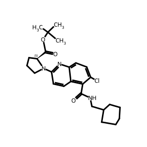 CC(C)(C)OC(=O)[C@@H]1CCCN1c1ccc2c(C(=O)NCC3CCCCC3)c(Cl)ccc2n1